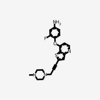 CN1CCN(CC#Cc2cc3nccc(Oc4ccc(N)cc4F)c3s2)CC1